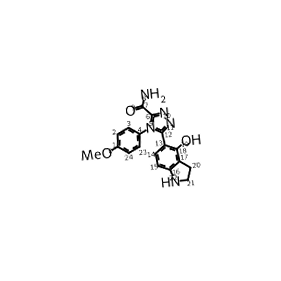 COc1ccc(-n2c(C(N)=O)nnc2-c2ccc3c(c2O)CCN3)cc1